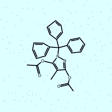 CC(=O)Oc1nn(C(c2ccccc2)(c2ccccc2)c2ccccc2)c(OC(C)=O)c1C